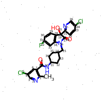 Cc1ncc(Cl)cc1C(=O)NC1CCC(CN2C(=O)C(O)(c3ccc(Cl)cn3)c3ccc(F)cc32)CC1